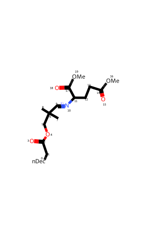 CCCCCCCCCCCC(=O)OCC(C)(C)/C=N/C(CCC(=O)OC)C(=O)OC